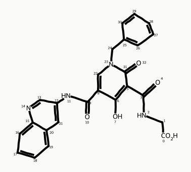 O=C(O)CNC(=O)c1c(O)c(C(=O)Nc2cnc3ccccc3c2)cn(Cc2ccccc2)c1=O